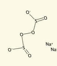 O=S([O-])OOS(=O)[O-].[Na+].[Na+]